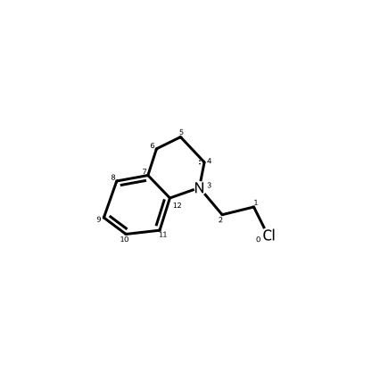 ClCCN1[C]CCc2ccccc21